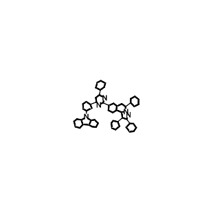 c1ccc(-c2cc(-c3cccc(-n4c5ccccc5c5ccccc54)c3)nc(-c3ccc4c(c3)cc(-c3ccccc3)n3nc(-c5ccccc5)c(-c5ccccc5)c43)n2)cc1